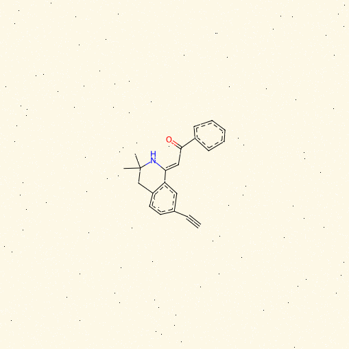 C#Cc1ccc2c(c1)C(=CC(=O)c1ccccc1)NC(C)(C)C2